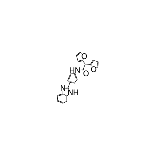 O=C(Nc1ccc(-c2nc3ccccc3[nH]2)cc1)C(c1ccco1)c1ccco1